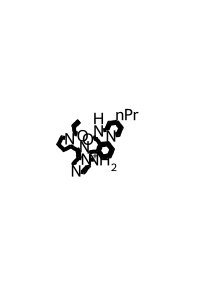 C=CC(=O)N1CCCC1C1=C2C=NC=C[N+]2(N)C(c2ccccc2C(=O)Nc2cc(CCC)ccn2)=N1